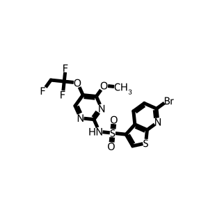 COc1nc(NS(=O)(=O)c2csc3nc(Br)ccc23)ncc1OC(F)(F)CF